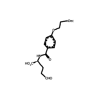 CCCCCCCCCCCCOc1ccc(C(=O)N[C@@H](CCC=O)C(=O)O)cc1